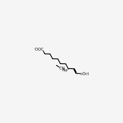 CC#N.CCCCCCCCC=CCCCCCCCC(=O)[O-].[Na+]